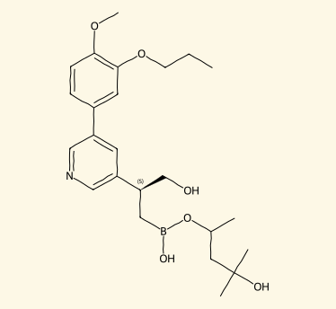 CCCOc1cc(-c2cncc([C@@H](CO)CB(O)OC(C)CC(C)(C)O)c2)ccc1OC